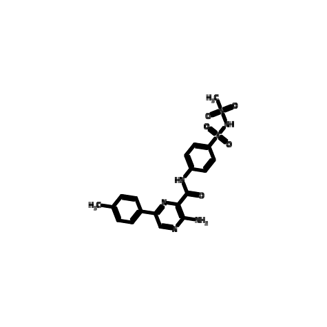 Cc1ccc(-c2cnc(N)c(C(=O)Nc3ccc(S(=O)(=O)NS(C)(=O)=O)cc3)n2)cc1